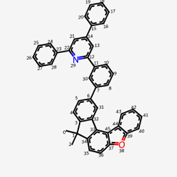 CC1(C)c2ccc(-c3cccc(-c4cc(-c5ccccc5)cc(-c5ccccc5)n4)c3)cc2-c2c1ccc1oc3ccccc3c21